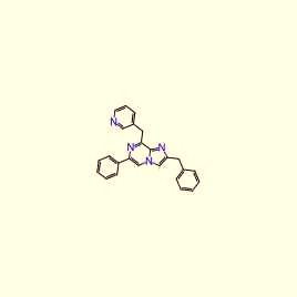 [c]1c(Cc2ccccc2)nc2c(Cc3cccnc3)nc(-c3ccccc3)cn12